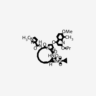 COc1ccc2c(O[C@@H]3C[C@H]4C(=O)N[C@]5(C(=O)NS(=O)(=O)C6CC6)C[C@H]5/C=C\CCCCC[C@H](NC(=O)c5ccn(C)n5)C(=O)N4C3)cc(OC(C)C)nc2c1C